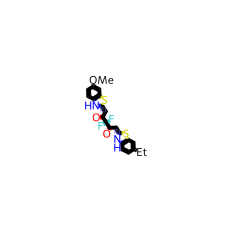 CCc1ccc2c(c1)S/C(=C/C(=O)C(F)(F)C(=O)/C=C1\Nc3ccc(OC)cc3S1)N2